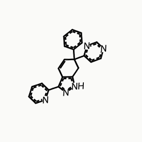 C1=CC(c2ccccc2)(c2ccncn2)Cc2[nH]nc(-c3ccccn3)c21